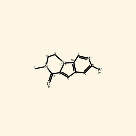 CN1CCn2c(cc3cc(Br)ncc32)C1=O